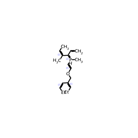 C=CC(/C(C)=C\C)=[PH](C)/C=C/OCC(/C=C\CC)=C/CC